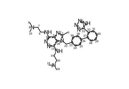 Cc1nc2c(NCCN(C)C)nnc(NCCN(C)C)c2n1Cc1ccc(-c2ccccc2-c2nnn[nH]2)cc1